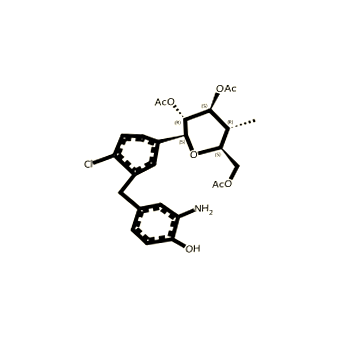 CC(=O)OC[C@H]1O[C@@H](c2ccc(Cl)c(Cc3ccc(O)c(N)c3)c2)[C@H](OC(C)=O)[C@@H](OC(C)=O)[C@@H]1C